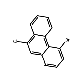 Clc1cc2[c]ccc(Br)c2c2ccccc12